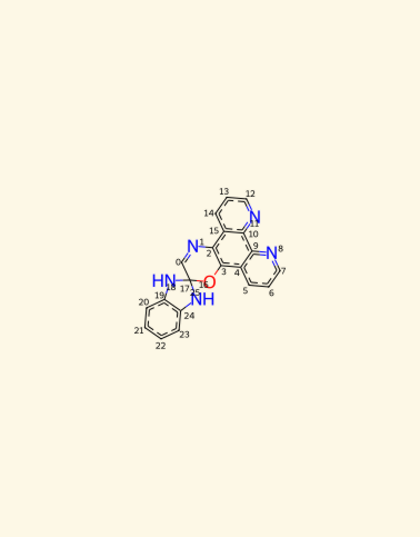 C1=Nc2c(c3cccnc3c3ncccc23)OC12Nc1ccccc1N2